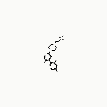 Cc1cnc(-c2cc(N3CCN(CCS(C)(=O)=O)CC3)ncc2Cl)c(C)c1